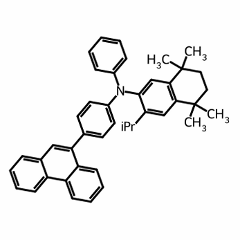 CC(C)c1cc2c(cc1N(c1ccccc1)c1ccc(-c3cc4ccccc4c4ccccc34)cc1)C(C)(C)CCC2(C)C